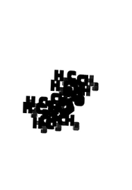 CC(C)[Si](C(C)C)(C(C)C)n1ccc(S(=O)(=O)NC(C)(C)C)c1